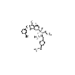 COc1ccc(CN(N)/C(=N\N)C(F)(F)c2ccc3c(C)nn(Cc4c(Cl)cccc4Br)c3c2)cc1